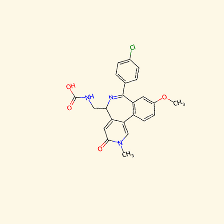 COc1ccc2c(c1)C(c1ccc(Cl)cc1)=NC(CNC(=O)O)c1cc(=O)n(C)cc1-2